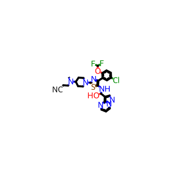 CN(CCC#N)C1CCN(c2nc(-c3cc(Cl)ccc3OC(F)F)c(NC(O)c3cnn4cccnc34)s2)CC1